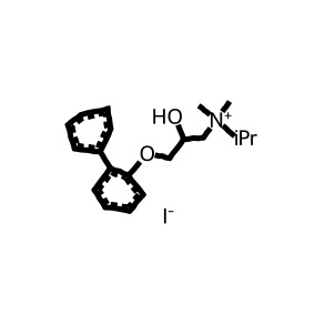 CC(C)[N+](C)(C)CC(O)COc1ccccc1-c1ccccc1.[I-]